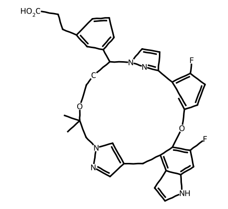 CC1(C)Cn2cc(cn2)Cc2c(c(F)cc3[nH]ccc23)Oc2ccc(F)c(c2)-c2ccn(n2)C(c2cccc(CCC(=O)O)c2)CCO1